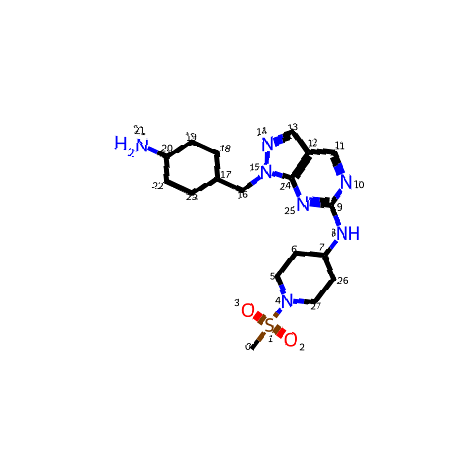 CS(=O)(=O)N1CCC(Nc2ncc3cnn(CC4CCC(N)CC4)c3n2)CC1